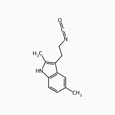 Cc1ccc2[nH]c(C)c(CCN=C=O)c2c1